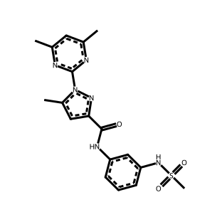 Cc1cc(C)nc(-n2nc(C(=O)Nc3cccc(NS(C)(=O)=O)c3)cc2C)n1